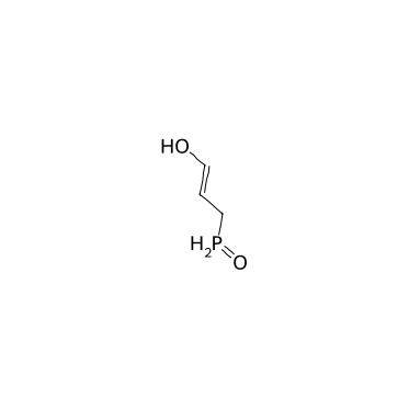 O=[PH2]CC=CO